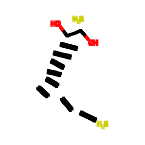 C=C.C=C.C=C.C=C.C=C.C=C.C=C.C=C.OCCO.S.S